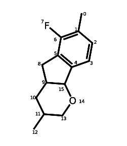 Cc1ccc2c(c1F)CC1CC(C)COC21